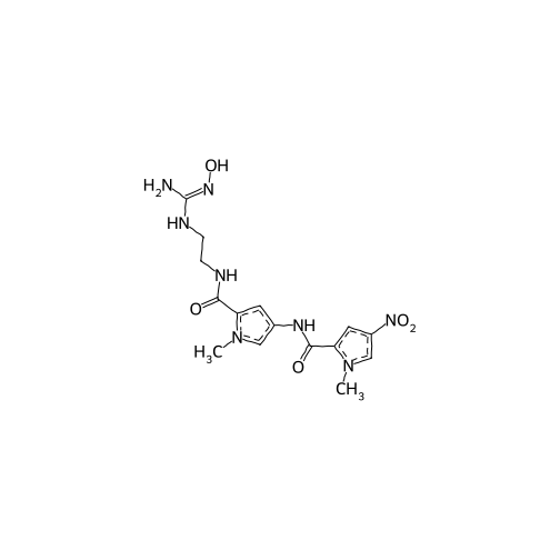 Cn1cc(NC(=O)c2cc([N+](=O)[O-])cn2C)cc1C(=O)NCCNC(N)=NO